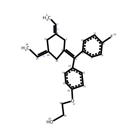 C/C=C1/CC(=C(c2ccc(F)cc2)c2ccc(OCCO)cc2)C/C(=C/C)C1